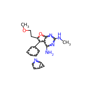 CNc1nc(N)c2c(-c3ccccc3)c(CCOC)oc2n1.c1cc2cc-2n1